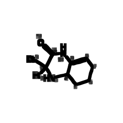 CCC1(CC)NC2CCCC=C2NC1=O